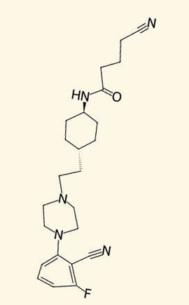 N#CCCCC(=O)N[C@H]1CC[C@H](CCN2CCN(c3cccc(F)c3C#N)CC2)CC1